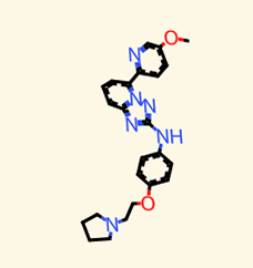 COc1ccc(-c2cccc3nc(Nc4ccc(OCCN5CCCC5)cc4)nn23)nc1